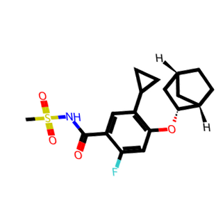 CS(=O)(=O)NC(=O)c1cc(C2CC2)c(O[C@@H]2C[C@@H]3CC[C@H]2C3)cc1F